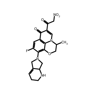 CC1COc2c(N3CC4=CCCNC4C3)c(F)cc3c(=O)c(C(=O)C[N+](=O)[O-])cn1c23